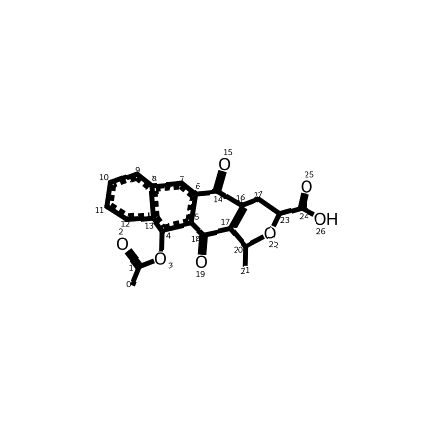 CC(=O)Oc1c2c(cc3ccccc13)C(=O)C1=C(C2=O)C(C)OC(C(=O)O)C1